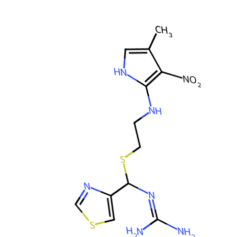 Cc1c[nH]c(NCCSC(N=C(N)N)c2cscn2)c1[N+](=O)[O-]